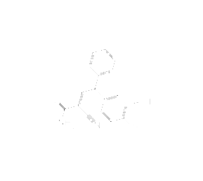 N#CC(=CC(c1ccccc1)c1ccc(O)c(O)c1)C(N)=O